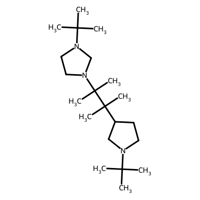 CC(C)(C)N1CCC(C(C)(C)C(C)(C)N2CCN(C(C)(C)C)C2)C1